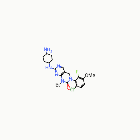 CCN1C(=O)N(c2c(Cl)ccc(OC)c2F)Cc2cnc(NC3CCC(N)CC3)nc21